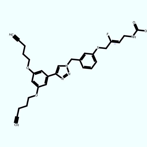 C#CCCCOc1cc(OCCCC#C)cc(-c2cn(Cc3cccc(SC/C(F)=C/CNC(=O)O)c3)nn2)c1